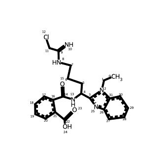 CCn1c(C(CCCNC(=N)CCl)NC(=O)c2ccccc2C(=O)O)nc2ccccc21